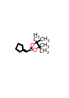 CC1(C)OB(C=C2CCCC2)OC1(C)C